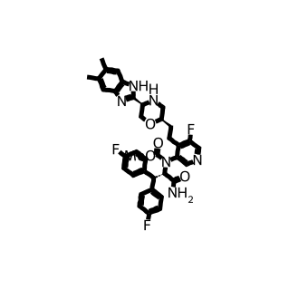 COC(=O)N(c1cncc(F)c1CC[C@@H]1CN[C@H](c2nc3cc(C)c(C)cc3[nH]2)CO1)[C@H](C(N)=O)C(c1ccc(F)cc1)c1ccc(F)cc1